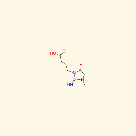 CN1CC(=O)N(CCCC(=O)O)C1=N